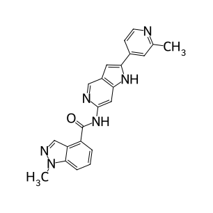 Cc1cc(-c2cc3cnc(NC(=O)c4cccc5c4cnn5C)cc3[nH]2)ccn1